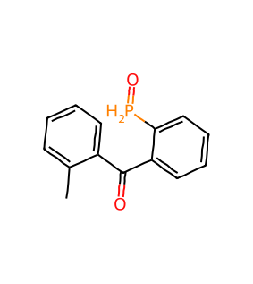 Cc1ccccc1C(=O)c1ccccc1[PH2]=O